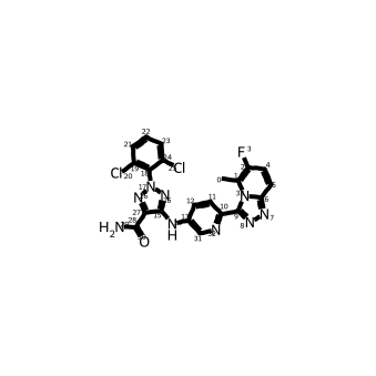 Cc1c(F)ccc2nnc(-c3ccc(Nc4nn(-c5c(Cl)cccc5Cl)nc4C(N)=O)cn3)n12